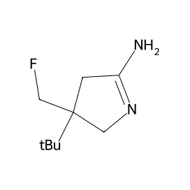 CC(C)(C)C1(CF)CN=C(N)C1